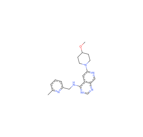 COC1CCN(c2cc3c(NCc4cccc(C)n4)ncnc3cn2)CC1